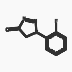 O=C1CN(c2ccccc2F)N=N1